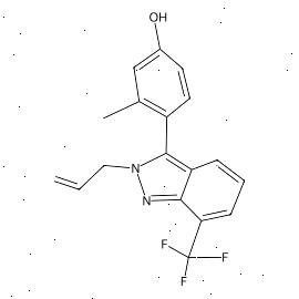 C=CCn1nc2c(C(F)(F)F)cccc2c1-c1ccc(O)cc1C